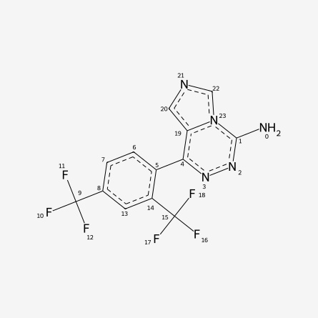 Nc1nnc(-c2ccc(C(F)(F)F)cc2C(F)(F)F)c2cncn12